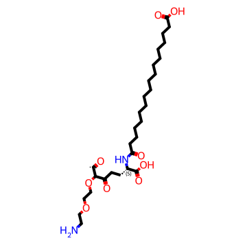 NCCOCCOC([C]=O)C(=O)CC[C@H](NC(=O)CCCCCCCCCCCCCCCCC(=O)O)C(=O)O